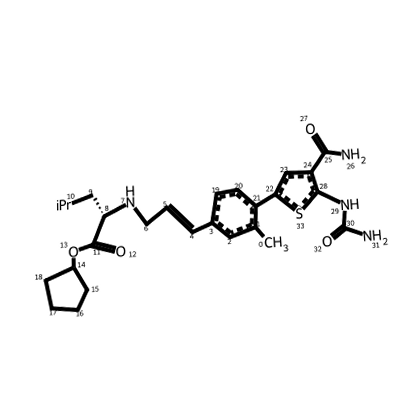 Cc1cc(C=CCN[C@@H](CC(C)C)C(=O)OC2CCCC2)ccc1-c1cc(C(N)=O)c(NC(N)=O)s1